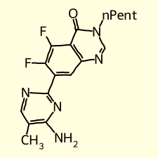 CCCCCn1cnc2cc(-c3ncc(C)c(N)n3)c(F)c(F)c2c1=O